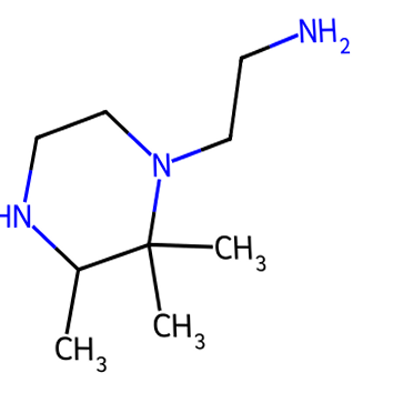 CC1NCCN(CCN)C1(C)C